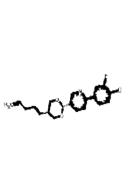 C=CCCC[C@H]1CO[C@H](c2ccc(-c3ccc(Cl)c(F)c3)nc2)OC1